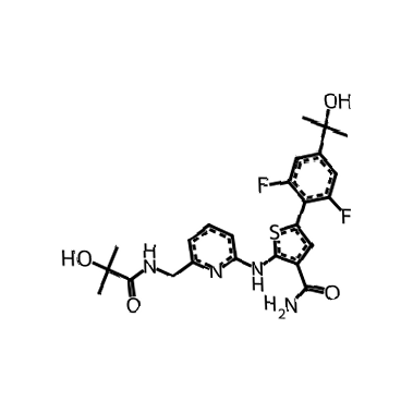 CC(C)(O)C(=O)NCc1cccc(Nc2sc(-c3c(F)cc(C(C)(C)O)cc3F)cc2C(N)=O)n1